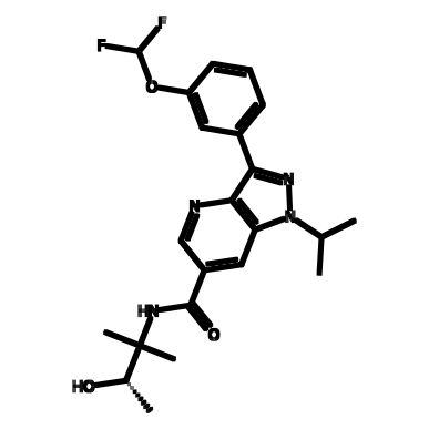 CC(C)n1nc(-c2cccc(OC(F)F)c2)c2ncc(C(=O)NC(C)(C)[C@H](C)O)cc21